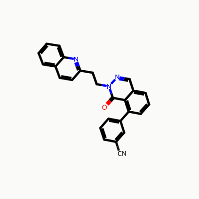 N#Cc1cccc(-c2cccc3cnn(CCc4ccc5ccccc5n4)c(=O)c23)c1